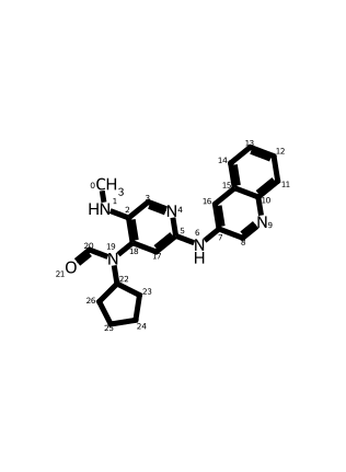 CNc1cnc(Nc2cnc3ccccc3c2)cc1N(C=O)C1CCCC1